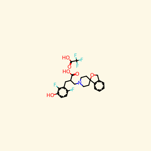 O=C(O)C(Cc1c(F)ccc(O)c1F)CN1CCC2(CC1)OCc1ccccc12.O=C(O)C(F)(F)F